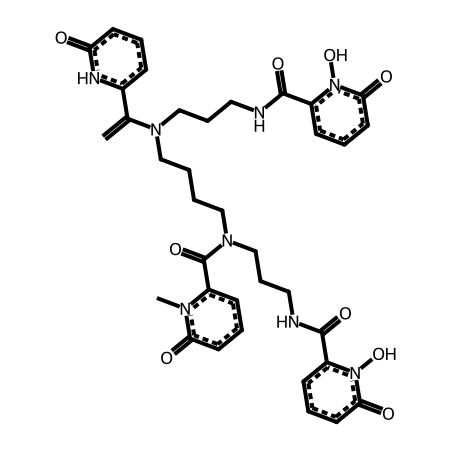 C=C(c1cccc(=O)[nH]1)N(CCCCN(CCCNC(=O)c1cccc(=O)n1O)C(=O)c1cccc(=O)n1C)CCCNC(=O)c1cccc(=O)n1O